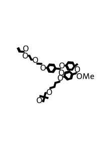 C=CC(=O)OCCOCCOc1ccc(C(=O)OC2=CCC(C)(OC(OC)c3ccc(OCCCCOCC4(C)COC4)cc3)C=C2)cc1